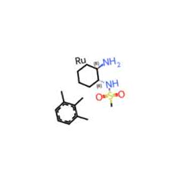 CS(=O)(=O)N[C@@H]1CCCC[C@H]1N.Cc1cccc(C)c1C.[Ru]